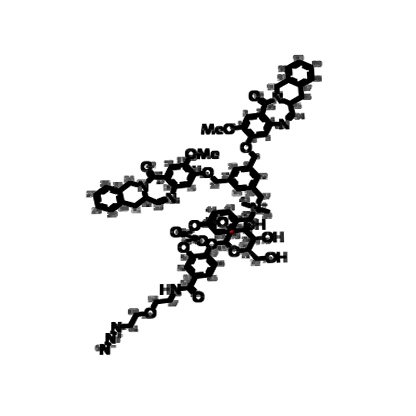 COc1cc2c(cc1OCc1cc(COc3cc4c(cc3OC)C(=O)N3Cc5ccccc5CC3C=N4)cc(C[N+](C)(C)Cc3ccc(OS(=O)(=O)Oc4cc(C(=O)NCCOCCN=[N+]=[N-])ccc4OC4O[C@H](CO)[C@H](O)[C@H](O)[C@H]4O)cc3)c1)N=CC1Cc3ccccc3CN1C2=O